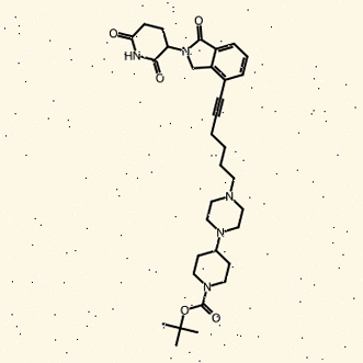 CC(C)(C)OC(=O)N1CCC(N2CCN(CCCCC#Cc3cccc4c3CN(C3CCC(=O)NC3=O)C4=O)CC2)CC1